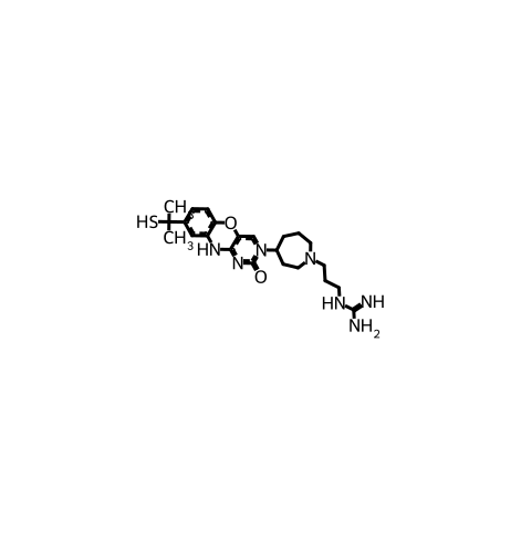 CC(C)(S)c1ccc2c(c1)Nc1nc(=O)n(C3CCCN(CCCNC(=N)N)CC3)cc1O2